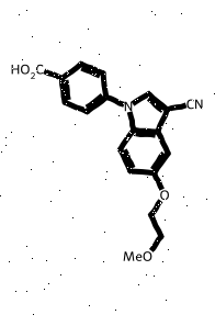 COCCOc1ccc2c(c1)c(C#N)cn2-c1ccc(C(=O)O)cc1